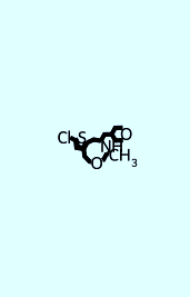 CC1COCCc2cc(Cl)sc2CC(CC2CCOCC2)N1